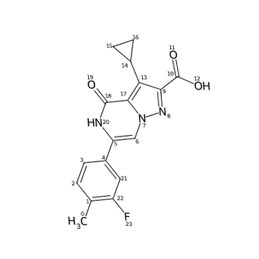 Cc1ccc(-c2cn3nc(C(=O)O)c(C4CC4)c3c(=O)[nH]2)cc1F